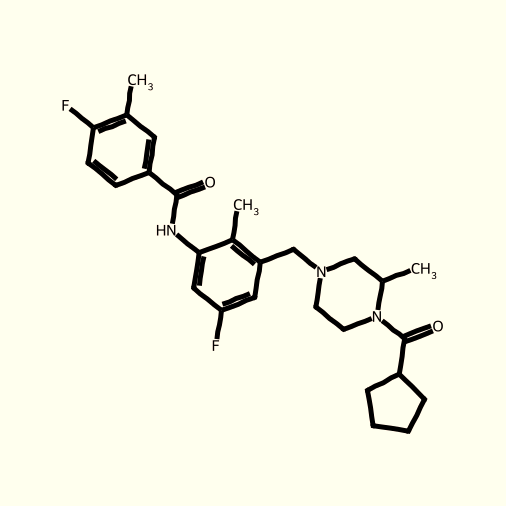 Cc1cc(C(=O)Nc2cc(F)cc(CN3CCN(C(=O)C4CCCC4)C(C)C3)c2C)ccc1F